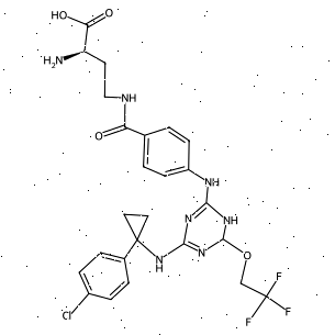 N[C@H](CCNC(=O)c1ccc(NC2=NC(NC3(c4ccc(Cl)cc4)CC3)=NC(OCC(F)(F)F)N2)cc1)C(=O)O